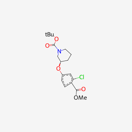 COC(=O)c1ccc(O[C@@H]2CCCN(C(=O)OC(C)(C)C)C2)cc1Cl